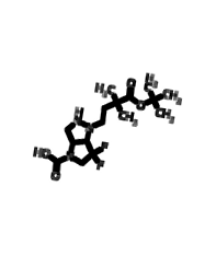 CC(C)(C)OC(=O)C(C)(C)CCN1NCC2C1C(F)(F)CN2C(=O)O